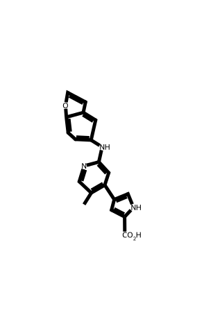 Cc1cnc(Nc2ccc3occc3c2)cc1-c1c[nH]c(C(=O)O)c1